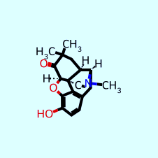 CN1CC[C@]23c4c5ccc(O)c4O[C@H]2C(=O)C(C)(C)C[C@H]3[C@H]1C5